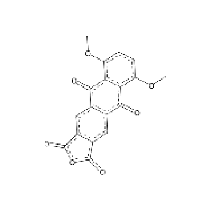 COc1ccc(OC)c2c(=O)c3cc4c(=O)oc(=O)c4cc3c(=O)c12